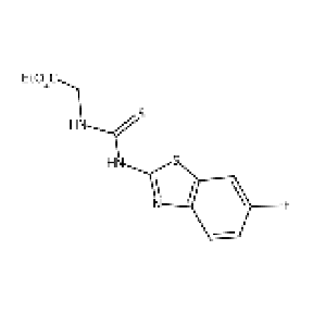 CCOC(=O)CNC(=S)Nc1nc2ccc(F)cc2s1